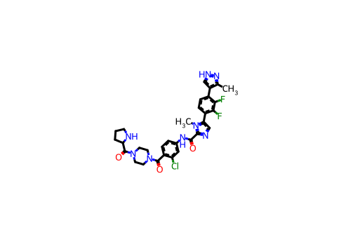 Cc1n[nH]cc1-c1ccc(-c2cnc(C(=O)Nc3ccc(C(=O)N4CCN(C(=O)C5CCCN5)CC4)c(Cl)c3)n2C)c(F)c1F